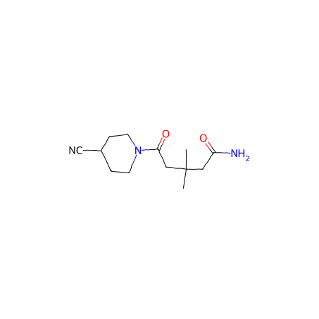 CC(C)(CC(N)=O)CC(=O)N1CCC(C#N)CC1